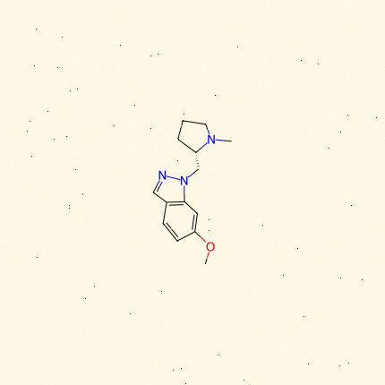 COc1ccc2cnn(C[C@@H]3CCCN3C)c2c1